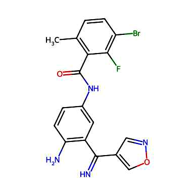 Cc1ccc(Br)c(F)c1C(=O)Nc1ccc(N)c(C(=N)c2cnoc2)c1